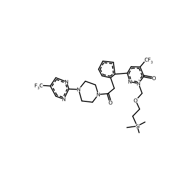 C[Si](C)(C)CCOCn1nc(-c2ccccc2CC(=O)N2CCN(c3ncc(C(F)(F)F)cn3)CC2)cc(C(F)(F)F)c1=O